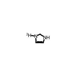 [2H]N1C=CNC1